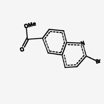 COC(=O)c1ccc2nc(Br)ccc2c1